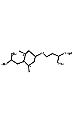 CCCCCCCC(CCCCCC)CCOC1C[C@@H](C)N(CC(CCCC)CCCC)[C@@H](C)C1